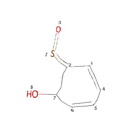 O=S=C1C=CC=CC1O